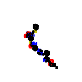 COC(=O)c1cncc(-c2ccccc2CN2CCN(c3ccc(C(=O)NSc4ccc(NCCSc5ccccc5)c([NH+]([O-])O)c4)cc3)CC2)c1